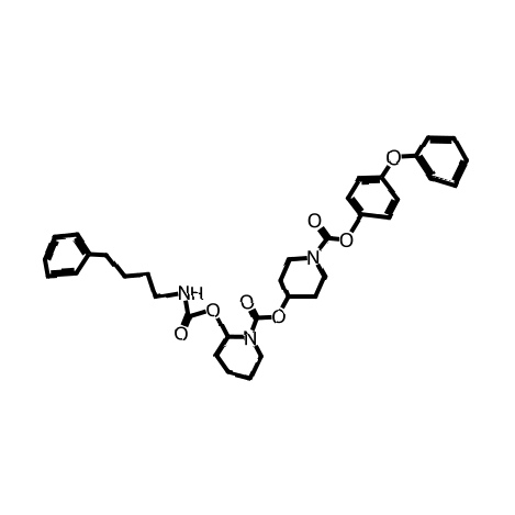 O=C(NCCCCc1ccccc1)OC1CCCCN1C(=O)OC1CCN(C(=O)Oc2ccc(Oc3ccccc3)cc2)CC1